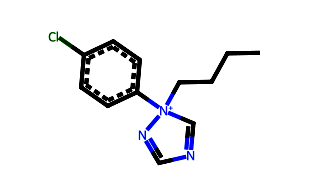 CCCC[N+]1(c2ccc(Cl)cc2)C=NC=N1